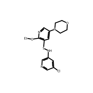 CCOc1ncc(N2CCOCC2)cc1SNc1cncc(Cl)c1